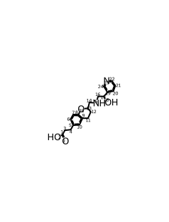 O=C(O)CCc1ccc2c(c1)CCC(CNCC(O)c1cccnc1)O2